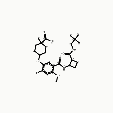 COc1cc(F)c(OC2CCC(C)(C(=O)O)CC2)cc1C(=O)NC1CCC1C(=O)NCC(C)(C)C